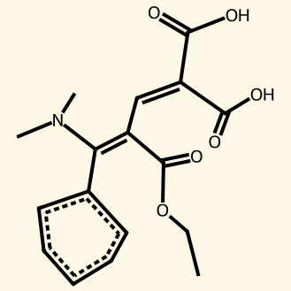 CCOC(=O)C(C=C(C(=O)O)C(=O)O)=C(c1ccccc1)N(C)C